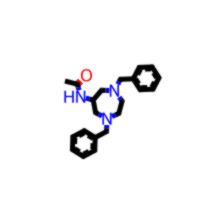 CC(=O)NC1CN(Cc2ccccc2)CCN(Cc2ccccc2)C1